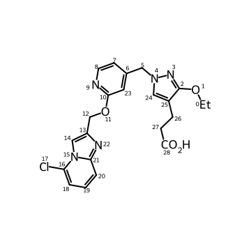 CCOc1nn(Cc2ccnc(OCc3cn4c(Cl)cccc4n3)c2)cc1CCC(=O)O